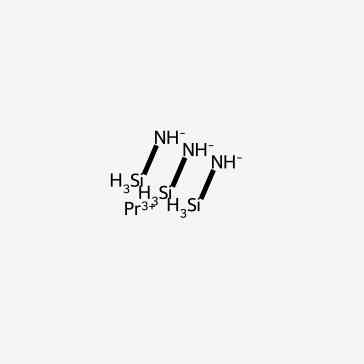 [NH-][SiH3].[NH-][SiH3].[NH-][SiH3].[Pr+3]